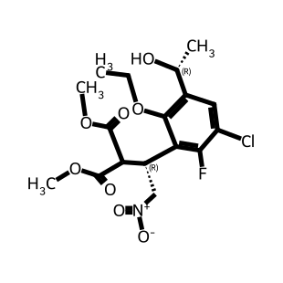 CCOc1c([C@@H](C)O)cc(Cl)c(F)c1[C@H](C[N+](=O)[O-])C(C(=O)OC)C(=O)OC